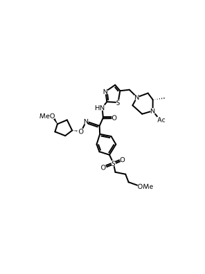 COCCCS(=O)(=O)c1ccc(/C(=N\O[C@@H]2CC[C@@H](OC)C2)C(=O)Nc2ncc(CN3CCN(C(C)=O)[C@@H](C)C3)s2)cc1